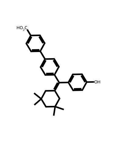 CC1(C)CC(=C(c2ccc(O)cc2)c2ccc(-c3ccc(C(=O)O)cc3)cc2)CC(C)(C)C1